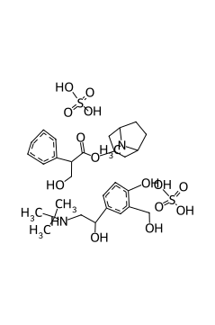 CC(C)(C)NCC(O)c1ccc(O)c(CO)c1.CN1C2CCC1CC(OC(=O)C(CO)c1ccccc1)C2.O=S(=O)(O)O.O=S(=O)(O)O